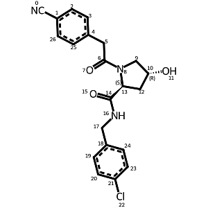 N#Cc1ccc(CC(=O)N2C[C@H](O)C[C@H]2C(=O)NCc2ccc(Cl)cc2)cc1